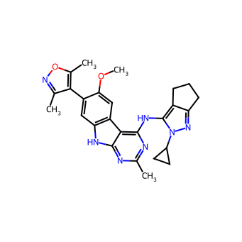 COc1cc2c(cc1-c1c(C)noc1C)[nH]c1nc(C)nc(Nc3c4c(nn3C3CC3)CCC4)c12